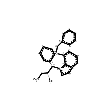 CNC[C@@H](O)[C@H](c1ccccc1)n1ccc2cccc(OCc3ccccc3)c21